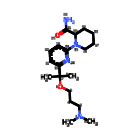 CN(C)CCCOC(C)(C)c1cc[c]c(N2CCCCC2C(N)=O)n1